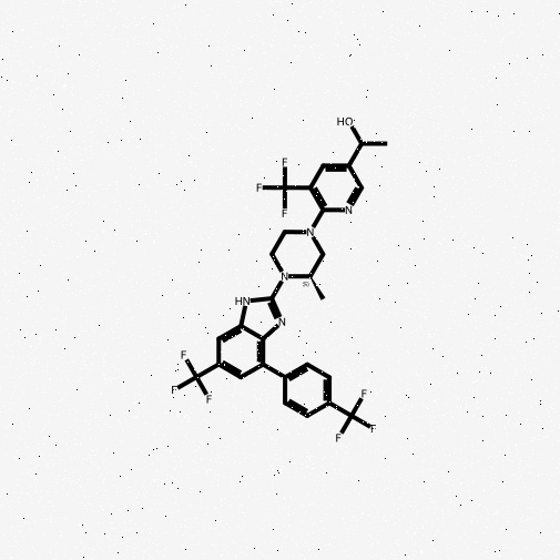 CC(O)c1cnc(N2CCN(c3nc4c(-c5ccc(C(F)(F)F)cc5)cc(C(F)(F)F)cc4[nH]3)[C@H](C)C2)c(C(F)(F)F)c1